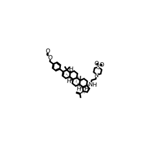 C=C(C)[C@@H]1CC[C@]2(NCCN3CCS(=O)(=O)CC3)CC[C@]3(C)[C@H](CC[C@@H]4[C@@]5(C)CC=C(c6ccc(COC=O)cc6)C(C)(C)[C@@H]5CC[C@]43C)[C@@H]12